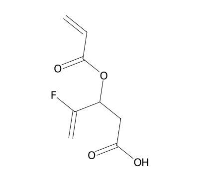 C=CC(=O)OC(CC(=O)O)C(=C)F